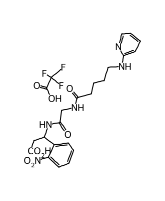 O=C(O)C(F)(F)F.O=C(O)CC(NC(=O)CNC(=O)CCCCNc1ccccn1)c1ccccc1[N+](=O)[O-]